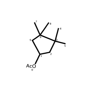 CC(=O)OC1CC(C)(C)C(C)(C)C1